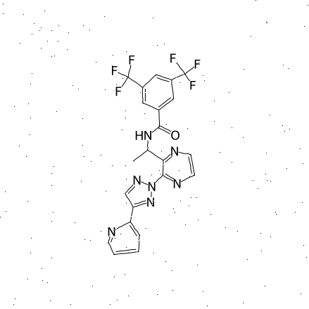 CC(NC(=O)c1cc(C(F)(F)F)cc(C(F)(F)F)c1)c1nccnc1-n1ncc(-c2ccccn2)n1